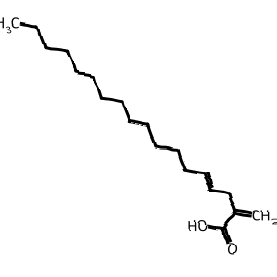 C=C(CC=CCCCCCCCCCCCCC)C(=O)O